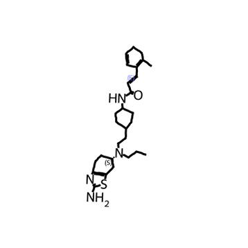 CCCN(CCC1CCC(NC(=O)/C=C/C2=C(C)CCC=C2)CC1)[C@H]1CCc2nc(N)sc2C1